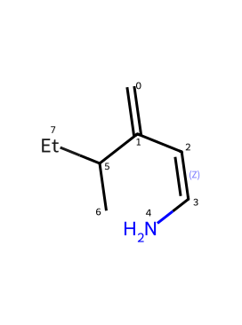 C=C(/C=C\N)C(C)CC